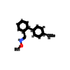 CCO/N=C/c1ccccc1-c1ccc(OC)cc1